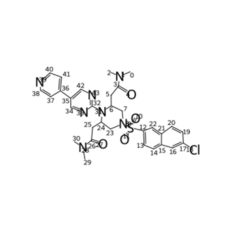 CN(C)C(=O)CC1CN(S(=O)(=O)c2ccc3cc(Cl)ccc3c2)CC(CC(=O)N(C)C)N1c1ncc(-c2ccncc2)cn1